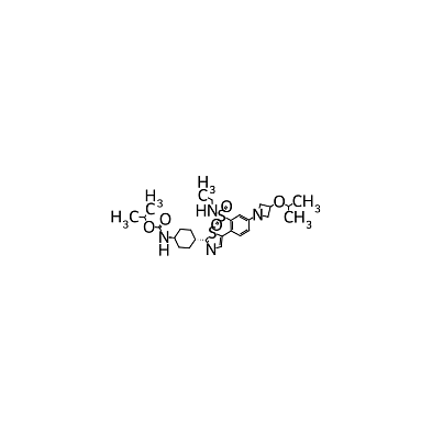 CCNS(=O)(=O)c1cc(N2CC(OC(C)C)C2)ccc1-c1cnc([C@H]2CC[C@H](NC(=O)OC(C)C)CC2)s1